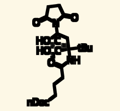 CCCCCCCCCCCCCC(=O)N[C@@](CC(C(=O)O)N1C(=O)CCC1=O)(C(=O)O)C(C)(C)C